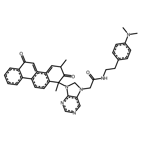 CC1C=c2c(ccc3c2=CC(=O)c2ccccc2-3)C(C)(N2CN(CC(=O)NCCc3ccc(N(C)C)cc3)c3cncnc32)C1=O